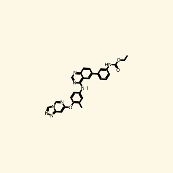 CCOC(=O)Nc1cccc(-c2ccc3ncnc(Nc4ccc(Oc5cc6nncn6cn5)c(C)c4)c3c2)c1